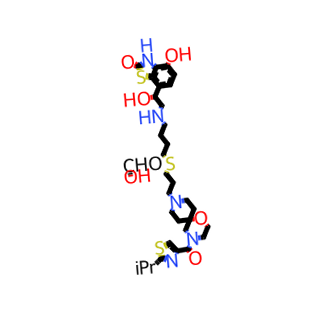 CC(C)c1nc(C(=O)N2CCOC3(CCN(CCCSCCCCNCC(O)c4ccc(O)c5[nH]c(=O)sc45)CC3)C2)cs1.O=CO